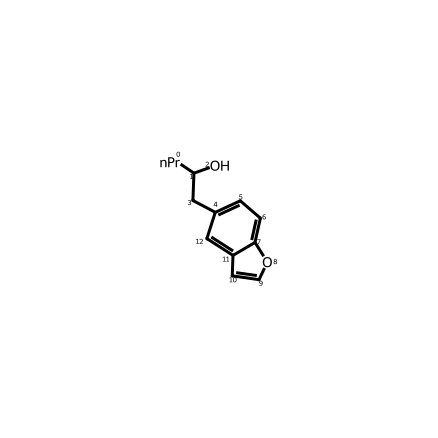 CCCC(O)Cc1ccc2occc2c1